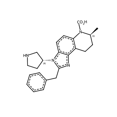 C[C@H]1CCc2c(ccc3c2nc(Cc2ccccc2)n3[C@@H]2CCNC2)N1C(=O)O